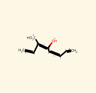 C=C/C=C\C(O)=C(/C=C)C(=O)O